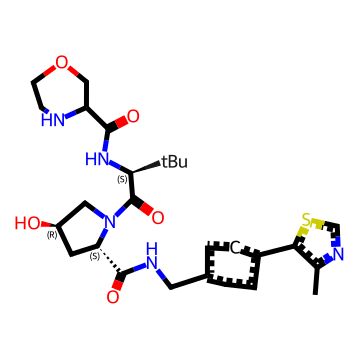 Cc1ncsc1-c1ccc(CNC(=O)[C@@H]2C[C@@H](O)CN2C(=O)[C@@H](NC(=O)C2COCCN2)C(C)(C)C)cc1